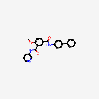 COc1ccc(C(=O)Nc2ccc(-c3ccccc3)cc2)cc1C(=O)Nc1cccnc1